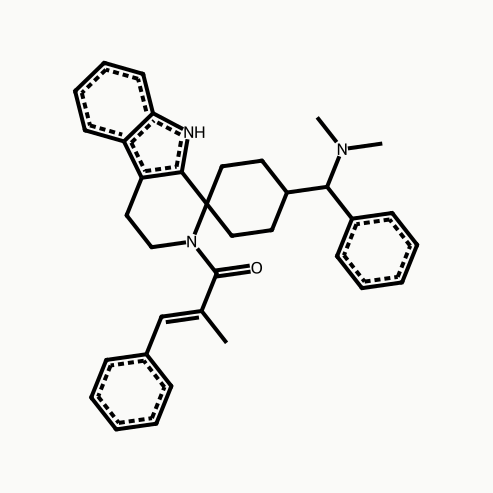 CC(=Cc1ccccc1)C(=O)N1CCc2c([nH]c3ccccc23)C12CCC(C(c1ccccc1)N(C)C)CC2